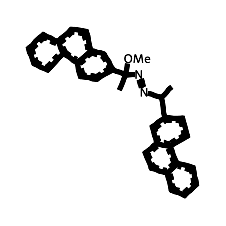 COC(C)(N=NC(C)c1ccc2c(ccc3ccccc32)c1)c1ccc2c(ccc3ccccc32)c1